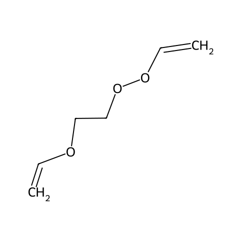 C=COCCOOC=C